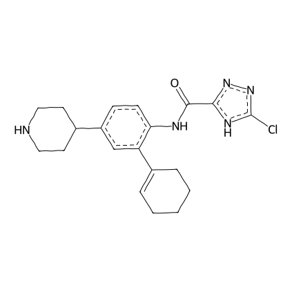 O=C(Nc1ccc(C2CCNCC2)cc1C1=CCCCC1)c1nnc(Cl)[nH]1